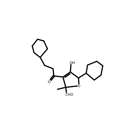 CC1(C=O)OC(C2CCCCC2)C(O)=C1C(=O)CCC1CCCCC1